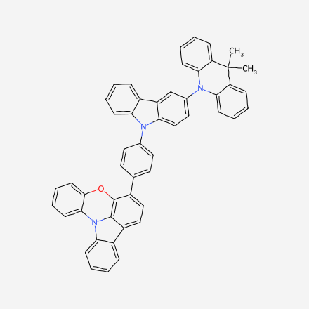 CC1(C)c2ccccc2N(c2ccc3c(c2)c2ccccc2n3-c2ccc(-c3ccc4c5ccccc5n5c4c3Oc3ccccc3-5)cc2)c2ccccc21